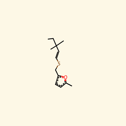 CCC(C)(C)/C=C/SCc1ccc(C)o1